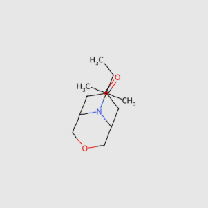 CCC(C)(C)N1C2COCC1CC(=O)C2